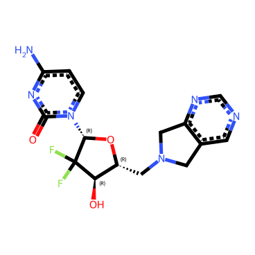 Nc1ccn([C@@H]2O[C@H](CN3Cc4cncnc4C3)[C@@H](O)C2(F)F)c(=O)n1